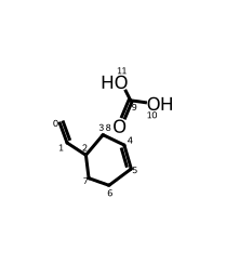 C=CC1CC=CCC1.O=C(O)O